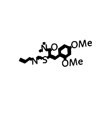 C=CC/N=C/S/C(=C/c1ccc(OC)cc1OC)C(=O)N(C)C